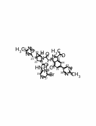 CC(=O)c1nn(CC(=O)N2[C@H](C(=O)Nc3cncc(Br)n3)C[C@@]3(Cc4nc(C)no4)C[C@@H]23)c2c(C)cc(-c3cnc(C)nc3)cc12